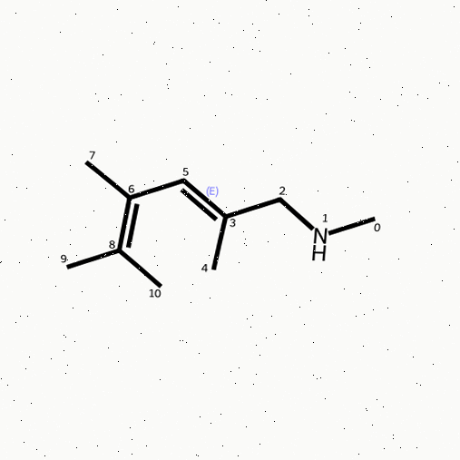 CNC/C(C)=C/C(C)=C(C)C